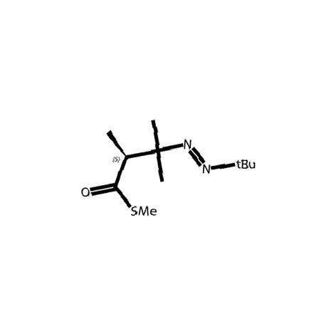 CSC(=O)[C@@H](C)C(C)(C)N=NC(C)(C)C